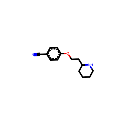 N#Cc1ccc(OCCC2CCCCN2)cc1